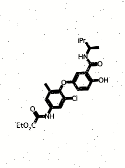 CCOC(=O)C(=O)Nc1cc(C)c(Oc2ccc(O)c(C(=O)NC(C)C(C)C)c2)c(Cl)c1